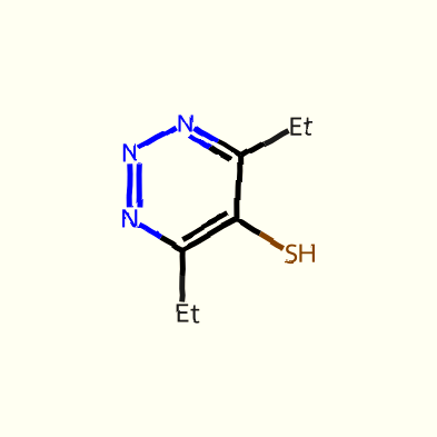 CCc1nnnc(CC)c1S